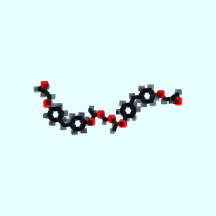 CC(OCOC(C)Oc1ccc(Cc2ccc(OCC3CO3)cc2)cc1)Oc1ccc(Cc2ccc(OCC3CO3)cc2)cc1